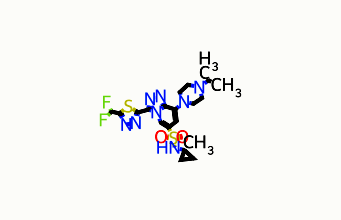 CC(C)N1CCN(c2cc(S(=O)(=O)NC3(C)CC3)cn3c(-c4nnc(C(F)F)s4)nnc23)CC1